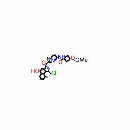 COCOc1ccc(C(=O)Nc2ccc3nc(C(=O)N4CC(CCl)c5c4cc(O)c4cccc(C)c54)cn3c2)cc1